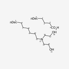 CCCCCCCCCCCCCC(=O)O.CCCCCCCCCCCCCCCCN(CCO)CCO